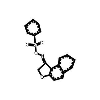 O=S(=O)(O/N=C1\COc2ccc3ccccc3c21)c1ccccc1